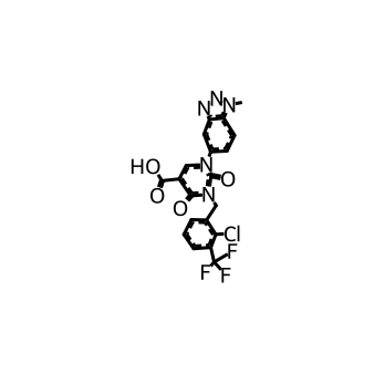 Cn1nnc2cc(-n3cc(C(=O)O)c(=O)n(Cc4cccc(C(F)(F)F)c4Cl)c3=O)ccc21